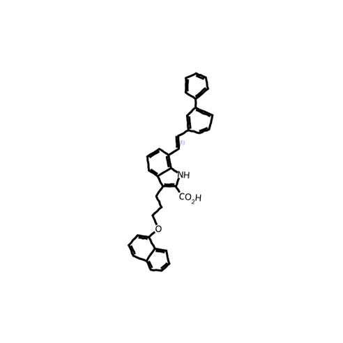 O=C(O)c1[nH]c2c(/C=C/c3cccc(-c4ccccc4)c3)cccc2c1CCCOc1cccc2ccccc12